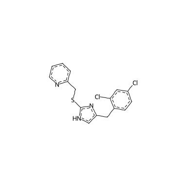 Clc1ccc(Cc2c[nH]c(SCc3ccccn3)n2)c(Cl)c1